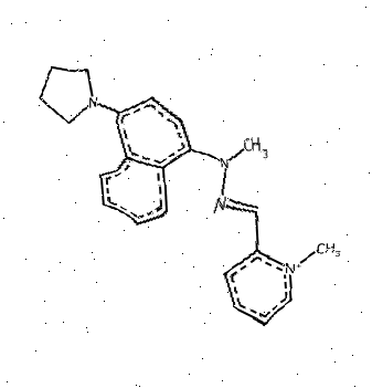 CN(/N=C/c1cccc[n+]1C)c1ccc(N2CCCC2)c2ccccc12